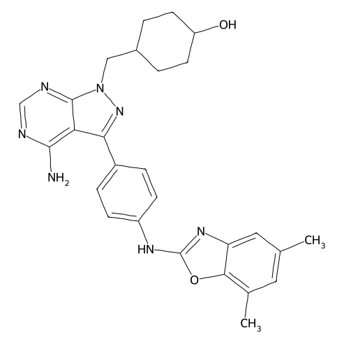 Cc1cc(C)c2oc(Nc3ccc(-c4nn(CC5CCC(O)CC5)c5ncnc(N)c45)cc3)nc2c1